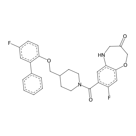 O=C1CNc2cc(C(=O)N3CCC(COc4ccc(F)cc4-c4ccccc4)CC3)c(F)cc2OC1